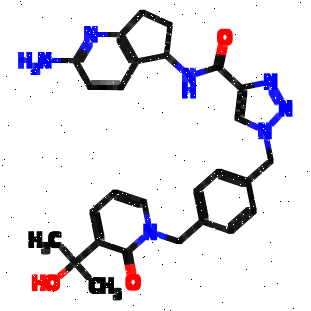 CC(C)(O)c1cccn(Cc2ccc(Cn3cc(C(=O)NC4CCc5nc(N)ccc54)nn3)cc2)c1=O